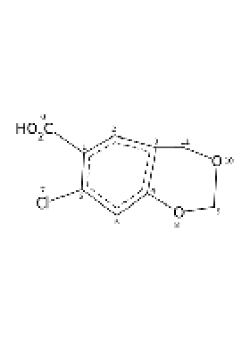 O=C(O)c1cc2c(cc1Cl)OCOC2